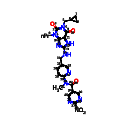 CCCn1c(=O)n(CC2CC2)c(=O)c2[nH]c(NCc3ccc(N(C)C(=O)c4cnc([N+](=O)[O-])nc4)nc3)nc21